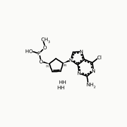 COP(O)O[C@@H]1C=C[C@H](n2cnc3c(Cl)nc(N)nc32)C1.[HH].[HH]